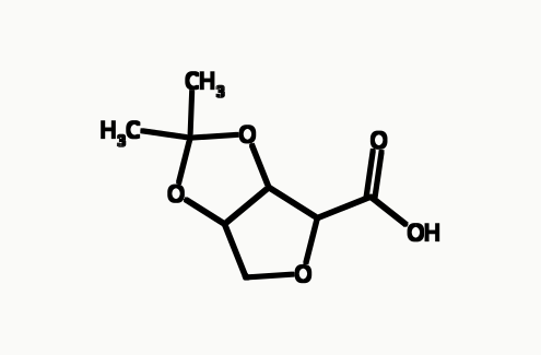 CC1(C)OC2COC(C(=O)O)C2O1